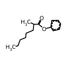 CCCCCCC(C)C(=O)Oc1ccccc1